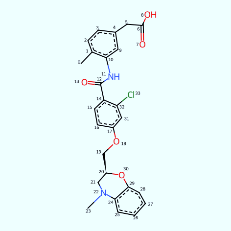 Cc1ccc(CC(=O)O)cc1NC(=O)c1ccc(OC[C@@H]2CN(C)c3ccccc3O2)cc1Cl